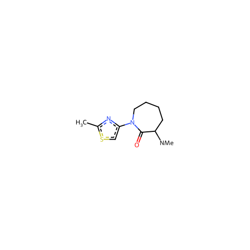 CNC1CCCCN(c2csc(C)n2)C1=O